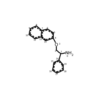 NC(COc1ccc2ccccc2c1)c1ccccc1